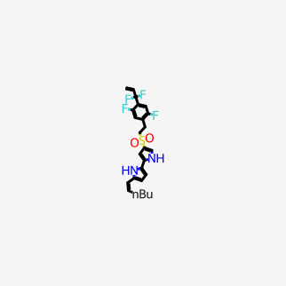 C=CC(F)(F)c1cc(F)c(CCS(=O)(=O)c2c[nH]c(-c3ccc(/C=C\CCCC)[nH]3)c2)cc1F